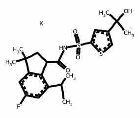 CC(C)c1cc(F)cc2c1C(C(=O)NS(=O)(=O)c1cc(C(C)(C)O)cs1)CC2(C)C.[K]